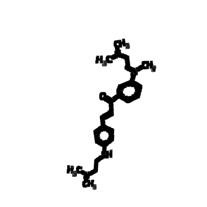 CN(C)CCNc1ccc(C=CC(=O)c2cccc(N(C)CCN(C)C)c2)cc1